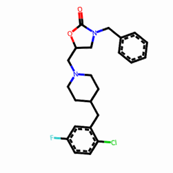 O=C1OC(CN2CCC(Cc3cc(F)ccc3Cl)CC2)CN1Cc1ccccc1